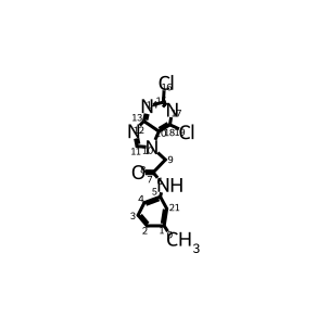 Cc1cccc(NC(=O)Cn2cnc3nc(Cl)nc(Cl)c32)c1